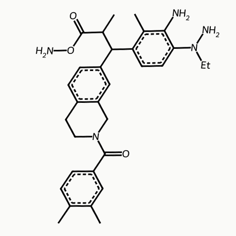 CCN(N)c1ccc(C(c2ccc3c(c2)CN(C(=O)c2ccc(C)c(C)c2)CC3)C(C)C(=O)ON)c(C)c1N